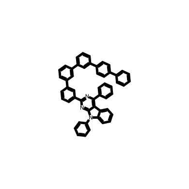 c1ccc(-c2ccc(-c3cccc(-c4cccc(-c5cccc(-c6nc(-c7ccccc7)c7c8ccccc8n(-c8ccccc8)c7n6)c5)c4)c3)cc2)cc1